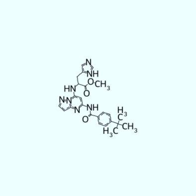 COC(=O)C(Cc1cnc[nH]1)Nc1cc(NC(=O)c2ccc(C(C)(C)C)cc2)nc2ccnn12